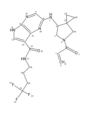 C=CC(=O)N1CC(Nc2cnc3[nH]cc(C(=O)NCCCC(F)(F)F)c3n2)C2(CC2)C1